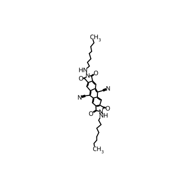 CCCCCCCCNn1c(=O)c2cc3c(C#N)c4cc5c(=O)n(NCCCCCCCC)c(=O)c5cc4c(C#N)c3cc2c1=O